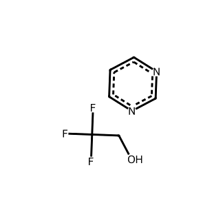 OCC(F)(F)F.c1cncnc1